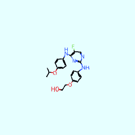 CC(C)Oc1ccc(Nc2nc(Nc3ccc(OCCO)cc3)ncc2F)cc1